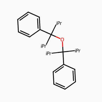 CC(C)C(OC(c1ccccc1)(C(C)C)C(C)C)(c1ccccc1)C(C)C